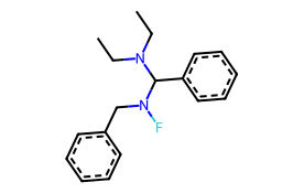 CCN(CC)C(c1ccccc1)N(F)Cc1ccccc1